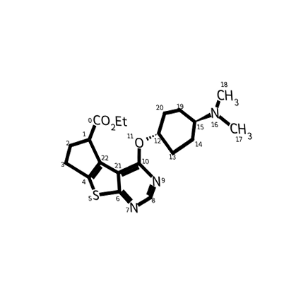 CCOC(=O)C1CCc2sc3ncnc(O[C@H]4CC[C@H](N(C)C)CC4)c3c21